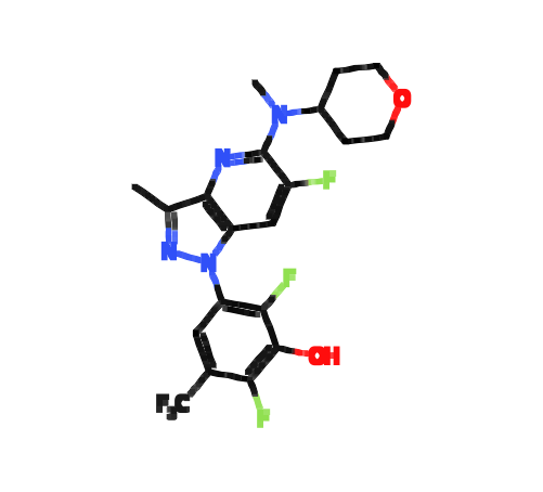 Cc1nn(-c2cc(C(F)(F)F)c(F)c(O)c2F)c2cc(F)c(N(C)C3CCOCC3)nc12